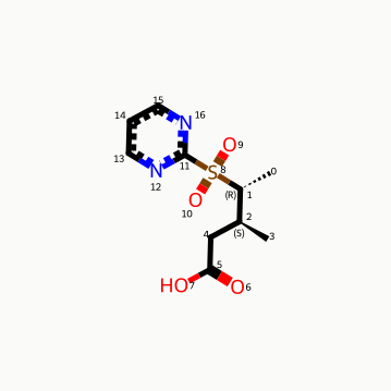 C[C@H]([C@@H](C)CC(=O)O)S(=O)(=O)c1ncccn1